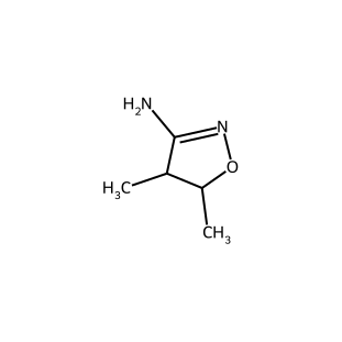 CC1ON=C(N)C1C